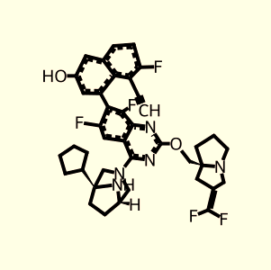 C#Cc1c(F)ccc2cc(O)cc(-c3c(F)cc4c(N5C[C@@H]6CC[C@](C7CCCC7)(C5)N6)nc(OC[C@@]56CCCN5CC(=C(F)F)C6)nc4c3F)c12